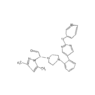 Cc1cc(C)n(C(C=O)N2CCN(c3ccccc3-c3cnc(Oc4cccnc4)nc3)CC2)n1